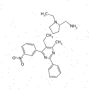 CCN1CCCC1CN.CCc1c(C)nc(-c2ccccc2)nc1-c1cccc([N+](=O)[O-])c1